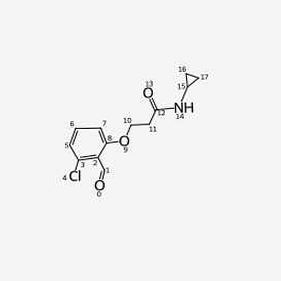 O=Cc1c(Cl)cccc1OCCC(=O)NC1CC1